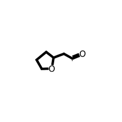 O=[C]CC1CCCO1